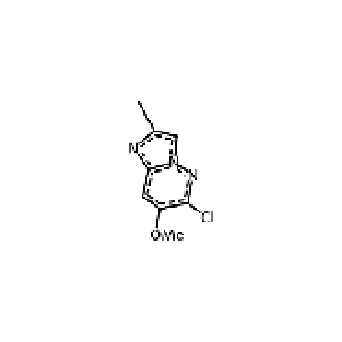 COc1cc2nc(C)cn2nc1Cl